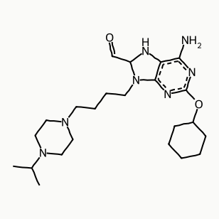 CC(C)N1CCN(CCCCN2c3nc(OC4CCCCC4)nc(N)c3NC2C=O)CC1